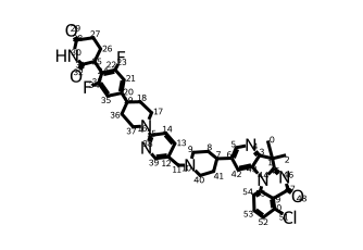 CC1(C)c2ncc(C3CCN(Cc4ccc(N5CCC(c6cc(F)c(C7CCC(=O)NC7=O)c(F)c6)CC5)nc4)CC3)cc2-n2c1nc(=O)c1c(Cl)cccc12